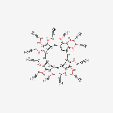 C#CCOc1c2cc(c(OC#C)c1OCC#C)Cc1cc(c(OCC#C)c(OCC#C)c1OCC#C)Cc1cc(c(OC#C)c(OCC#C)c1OCC#C)Cc1cc(c(OCC#C)c(OCC#C)c1OCC#C)C2